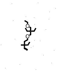 C=CC(C)(CC)CCOCC(CC)(CC)COCC